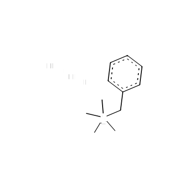 C[SH](C)(C)(C)Cc1ccccc1.F.F.F.F